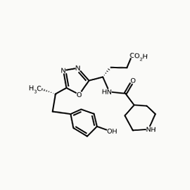 C[C@@H](Cc1ccc(O)cc1)c1nnc([C@H](CCC(=O)O)NC(=O)C2CCNCC2)o1